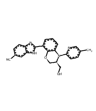 Cc1ccc(N2c3cccc(-c4nc5ccc(C#N)cc5[nH]4)c3OC[C@@H]2CO)nc1